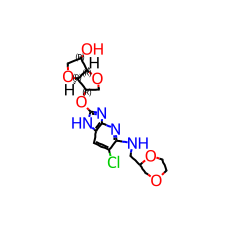 O[C@@H]1CO[C@H]2[C@@H]1OC[C@H]2Oc1nc2nc(NCC3COCCO3)c(Cl)cc2[nH]1